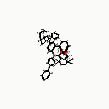 CC1(C)CCC(C)(C)c2c(N(c3ccc(-c4ccccc4)cc3)c3ccc4c(c3-c3ccccc3)-c3ccccc3C43C4CC5CC6CC3C64C5)cccc21